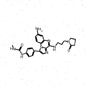 CNC(=O)Nc1ccc(-c2cnc3c(NCCCN4CCCC4=O)nc4cc(N)ccc4n23)cc1